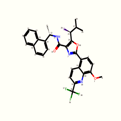 COc1ccc(-c2nc(C(=O)N[C@@H](C)c3cccc4ccccc34)c([C@@H](I)C(C)C)o2)c2ccc(C(F)(F)F)nc12